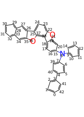 c1ccc(-c2ccc(N(c3ccccc3)c3ccc4c(c3)oc3ccc5c6cc7ccccc7cc6oc5c34)cc2)cc1